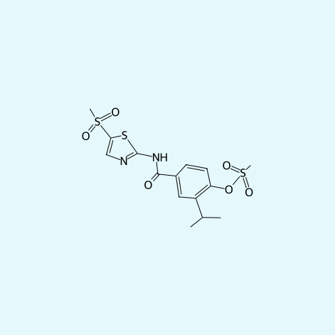 CC(C)c1cc(C(=O)Nc2ncc(S(C)(=O)=O)s2)ccc1OS(C)(=O)=O